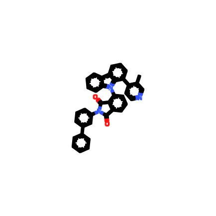 Cc1cnccc1-c1cccc2c3ccccc3n(-c3cccc4c3C(=O)N(c3cccc(-c5ccccc5)c3)C4=O)c12